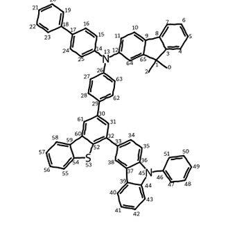 CC1(C)c2ccccc2-c2ccc(N(c3ccc(-c4ccccc4)cc3)c3ccc(-c4cc(-c5ccc6c(c5)c5ccccc5n6-c5ccccc5)c5sc6ccccc6c5c4)cc3)cc21